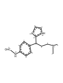 CN(C)CCC(c1ccc(NC=O)cc1)c1ncc[nH]1